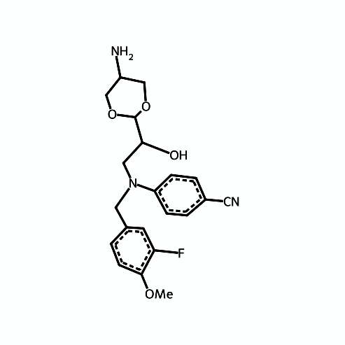 COc1ccc(CN(CC(O)C2OCC(N)CO2)c2ccc(C#N)cc2)cc1F